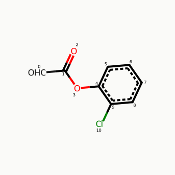 O=CC(=O)Oc1ccccc1Cl